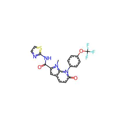 Cn1c(C(=O)Nc2nccs2)cc2ccc(=O)n(-c3ccc(OC(F)(F)F)cc3)c21